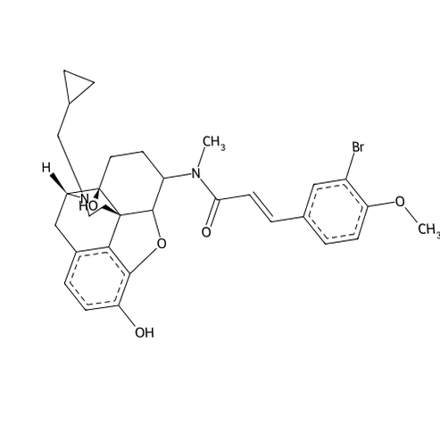 COc1ccc(/C=C/C(=O)N(C)C2CC[C@@]3(O)[C@H]4Cc5ccc(O)c6c5[C@@]3(CCN4CC3CC3)C2O6)cc1Br